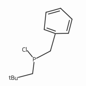 CC(C)(C)CP(Cl)Cc1ccccc1